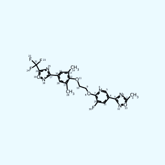 Cc1nc(-c2cnc(OCCOc3c(C)cc(-c4noc(C(F)(F)F)n4)cc3C)c(F)c2)no1